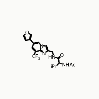 CC(=O)N[C@H](C(=O)NCc1cn2cc(-c3ccoc3)cc(C(F)(F)F)c2n1)C(C)C